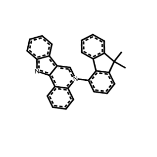 CC1(C)c2ccccc2-c2c(-n3cc4c5ccccc5nc-4c4ccccc43)cccc21